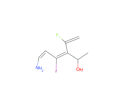 C=C(F)/C(=C(I)\C=C/N)C(C)O